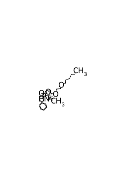 CCCCCCOCCOC(=O)[C@H](C)NP(=O)(Cl)Oc1ccccc1